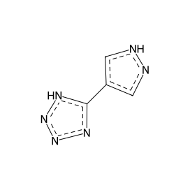 c1n[nH]cc1-c1nnn[nH]1